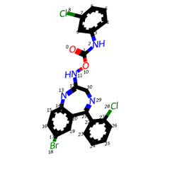 O=C(Nc1cccc(Cl)c1)ONC1=Nc2ccc(Br)cc2C(c2ccccc2Cl)=NC1